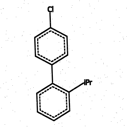 CC(C)c1ccccc1-c1ccc(Cl)cc1